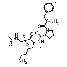 CC(=O)NCC(F)(F)C(=O)C(CCCCN)NC(=O)[C@@H]1CCCN1C(=O)[C@H](N)Cc1ccccc1